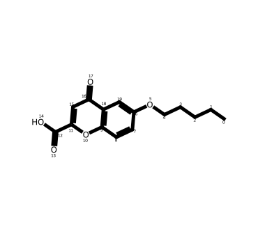 CCCCCOc1ccc2oc(C(=O)O)cc(=O)c2c1